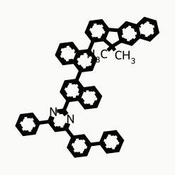 CC1(C)c2cc3ccccc3cc2-c2cccc(-c3ccc(-c4ccc(-c5nc(-c6ccccc6)cc(-c6cccc(-c7ccccc7)c6)n5)c5ccccc45)c4ccccc34)c21